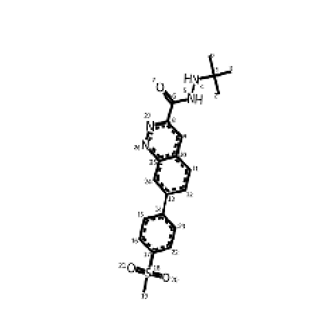 CC(C)(C)NNC(=O)c1cc2ccc(-c3ccc(S(C)(=O)=O)cc3)cc2nn1